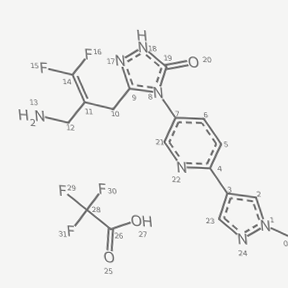 CCn1cc(-c2ccc(-n3c(CC(CN)=C(F)F)n[nH]c3=O)cn2)cn1.O=C(O)C(F)(F)F